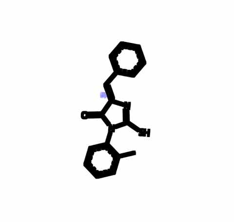 Cc1ccccc1N1C(=O)/C(=C/c2ccccc2)N=C1S